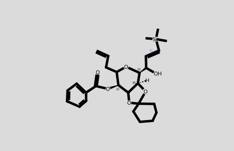 C=CCC1O[C@@H](C(O)/C=C/[Si](C)(C)C)[C@H]2OC3(CCCCC3)OC2[C@H]1OC(=O)c1ccccc1